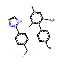 Cc1cc(C(=O)O)c(-c2ccc(C#N)cc2)c(C(=O)O)c1.NCc1ccc(-c2ncc[nH]2)cc1